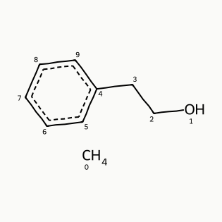 C.OCCc1ccccc1